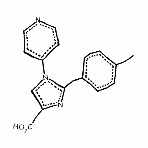 Cc1ccc(-c2nc(C(=O)O)cn2-c2ccncc2)cc1